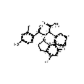 Cc1nc(O)ccc1C(=O)N([C@@H]1CCc2c(F)cc(Cl)cc21)[C@@H](C(N)=O)c1ccccc1